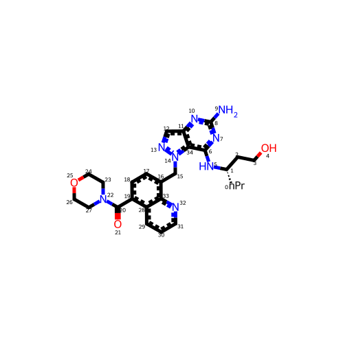 CCC[C@@H](CCO)Nc1nc(N)nc2cnn(Cc3ccc(C(=O)N4CCOCC4)c4cccnc34)c12